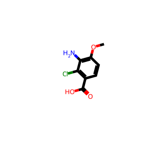 COc1ccc(C(=O)O)c(Cl)c1N